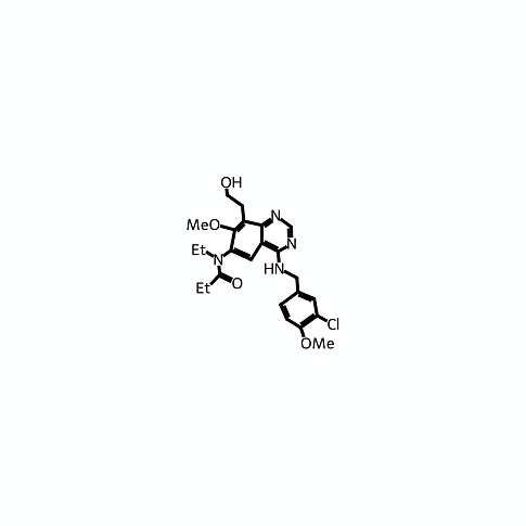 CCC(=O)N(CC)c1cc2c(NCc3ccc(OC)c(Cl)c3)ncnc2c(CCO)c1OC